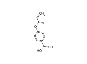 C=CC(=O)Oc1ccc(C(O)O)cc1